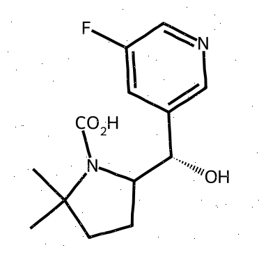 CC1(C)CCC([C@@H](O)c2cncc(F)c2)N1C(=O)O